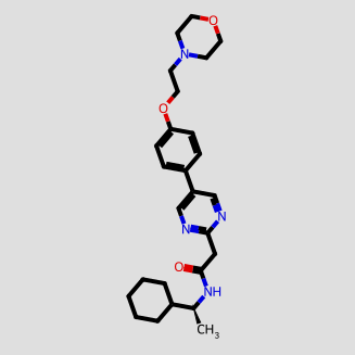 C[C@H](NC(=O)Cc1ncc(-c2ccc(OCCN3CCOCC3)cc2)cn1)C1CCCCC1